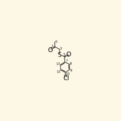 CC(=O)CSC(=O)c1ccc(Cl)cc1